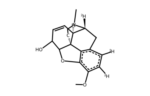 [2H]c1c([2H])c(OC)c2c3c1C[C@]1([2H])[C@@H]4C=CC(O)C(O2)[C@]34CCN1C